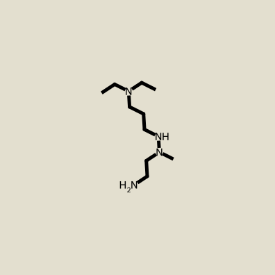 CCN(CC)CCCNN(C)CCN